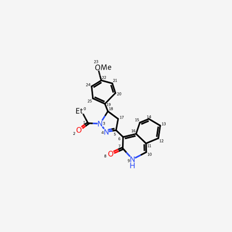 CCC(=O)N1N=C(c2c(=O)[nH]cc3ccccc23)CC1c1ccc(OC)cc1